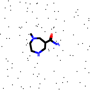 CN1CCNCC(C(N)=O)C1